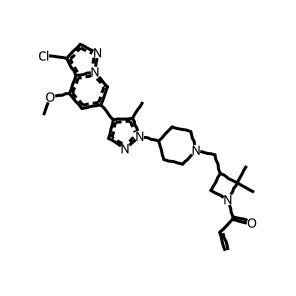 C=CC(=O)N1CC(CN2CCC(n3ncc(-c4cc(OC)c5c(Cl)cnn5c4)c3C)CC2)C1(C)C